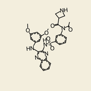 COc1cc(Nc2nc3ccccc3nc2NS(=O)(=O)c2cccc(N(C(C)=O)C(=O)C3CNC3)c2)cc(OC)c1